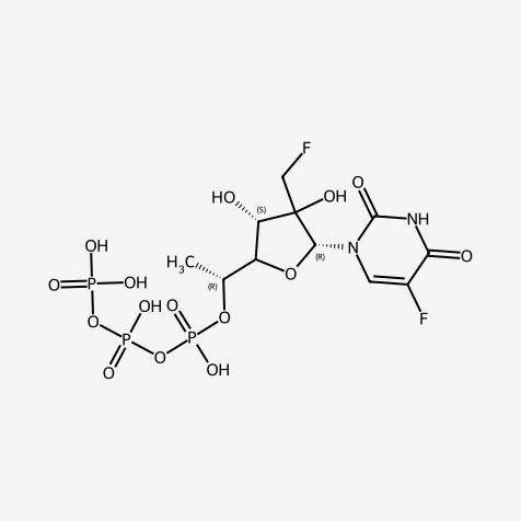 C[C@@H](OP(=O)(O)OP(=O)(O)OP(=O)(O)O)C1O[C@@H](n2cc(F)c(=O)[nH]c2=O)C(O)(CF)[C@H]1O